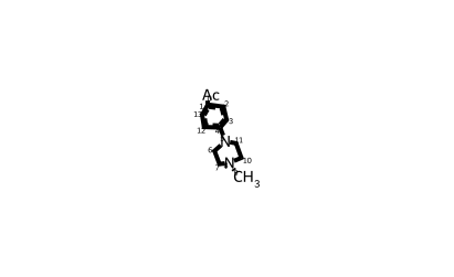 CC(=O)c1ccc(N2CCN(C)CC2)cc1